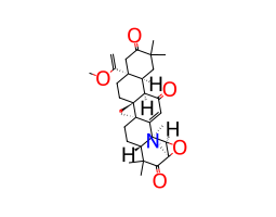 C=C(OC)[C@@]12CC[C@]3(C)[C@H](C(=O)C=C4[C@@]5(C)[C@H]6O[C@@]6(C#N)C(=O)C(C)(C)[C@@H]5CC[C@]43C)[C@@H]1CC(C)(C)C(=O)C2